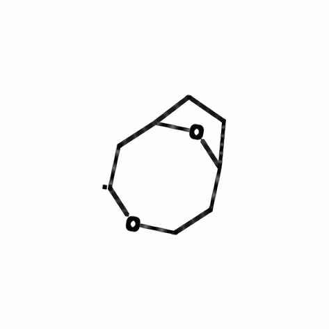 [CH]1CC2CCC(CCO1)O2